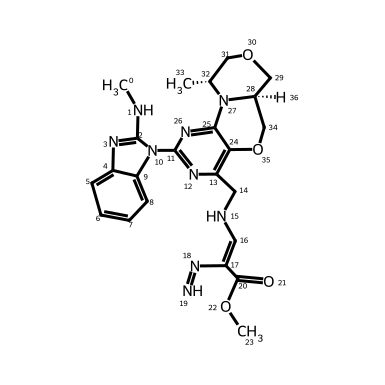 CNc1nc2ccccc2n1-c1nc(CN/C=C(\N=N)C(=O)OC)c2c(n1)N1[C@@H](COC[C@H]1C)CO2